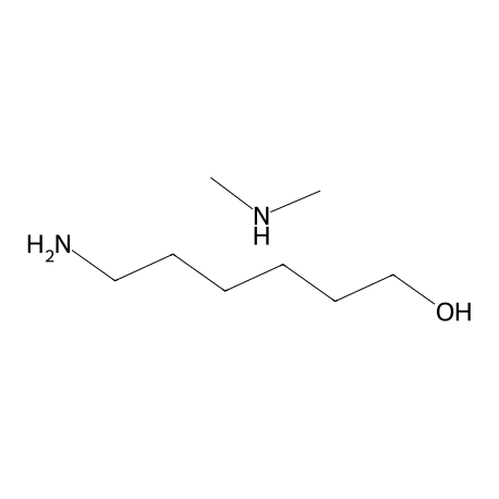 CNC.NCCCCCCO